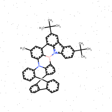 Cc1cc2c3c(c1)N1c4ccccc4[Si]4(c5ccccc5-c5ccccc54)c4cccc(c41)B3n1c3ccc(C(C)(C)C)cc3c3cc(C(C)(C)C)cc-2c31